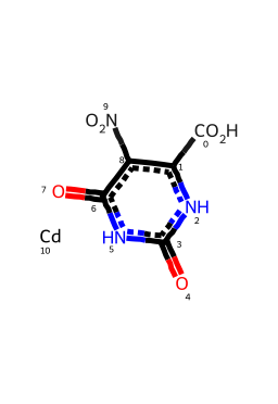 O=C(O)c1[nH]c(=O)[nH]c(=O)c1[N+](=O)[O-].[Cd]